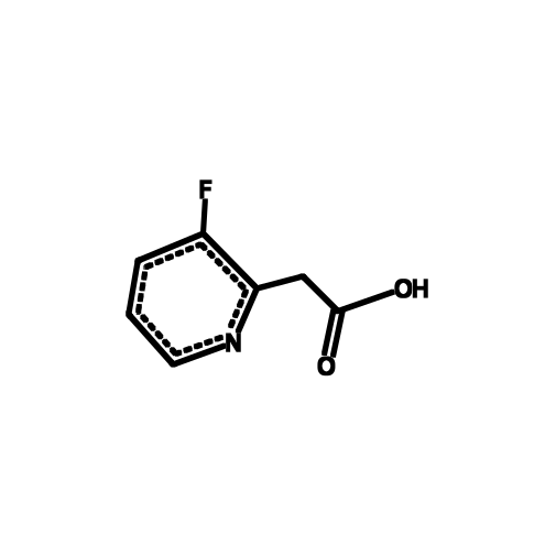 O=C(O)Cc1ncccc1F